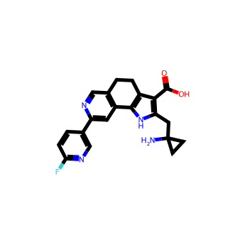 NC1(Cc2[nH]c3c(c2C(=O)O)CCc2cnc(-c4ccc(F)nc4)cc2-3)CC1